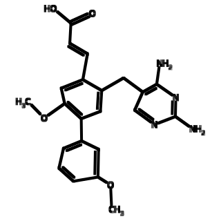 COc1cccc(-c2cc(Cc3cnc(N)nc3N)c(C=CC(=O)O)cc2OC)c1